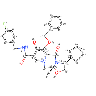 O=C(NCc1ccc(F)cc1)c1cn2c(c(OCc3ccccc3)c1=O)C(=O)N1[C@@H](c3ccccc3)CO[C@@H]1C2